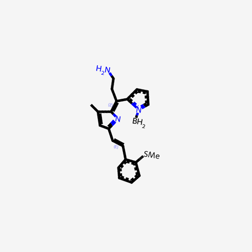 Bn1cccc1/C(CCN)=C1N=C(/C=C/c2ccccc2SC)C=C\1C